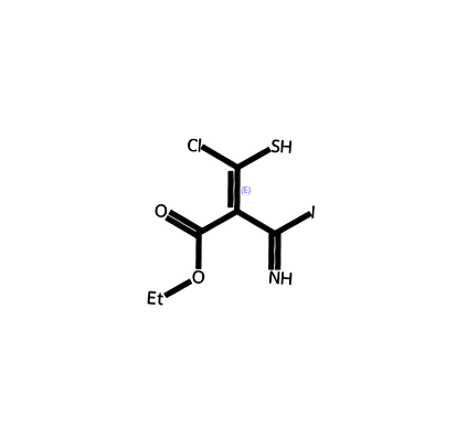 CCOC(=O)/C(C(=N)I)=C(/S)Cl